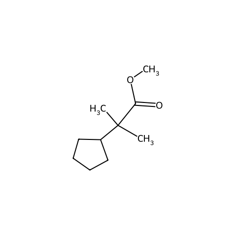 COC(=O)C(C)(C)C1CCCC1